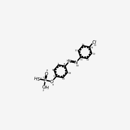 O=P(O)(S)Oc1ccc(/N=N/c2ccc(Cl)cc2)cc1